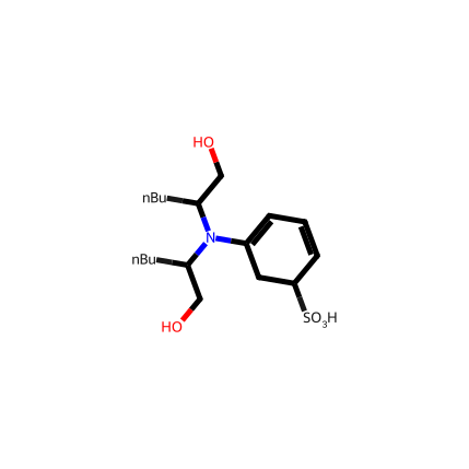 CCCCC(CO)N(C1=CC=CC(S(=O)(=O)O)C1)C(CO)CCCC